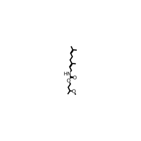 COC(C)CCOC(=O)NC/C=C(\C)CCC=C(C)C